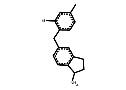 CCc1cc(C)ccc1Cc1ccc2c(c1)CCC2N